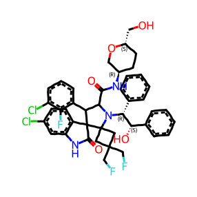 O=C(N[C@@H]1CC[C@@H](CO)OC1)C1C(c2cccc(Cl)c2F)C2(C(=O)Nc3cc(Cl)ccc32)C2(CC(CF)(CF)C2)N1[C@H](c1ccccc1)[C@@H](O)c1ccccc1